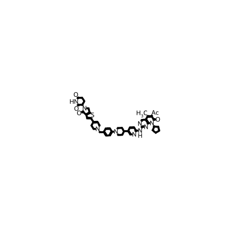 CC(=O)c1c(C)c2cnc(Nc3ccc(C4CCN(c5ccc(CN6CC=C(c7cc8c(s7)CN(C7CCC(=O)NC7=O)C8=O)CC6)cc5)CC4)cn3)nc2n(C2CCCC2)c1=O